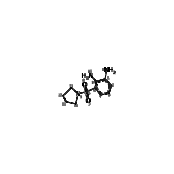 Nc1cccc(S(=O)(=O)N2CCCC2)c1N